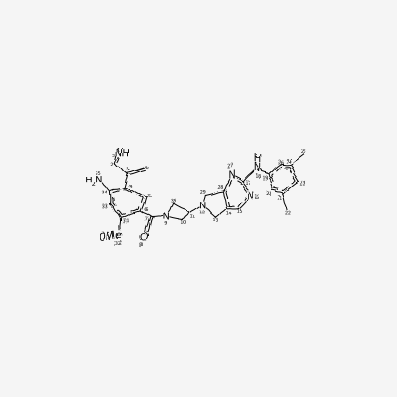 C=C(C=N)c1cc(C(=O)N2CC(N3Cc4cnc(Nc5cc(C)cc(C)c5)nc4C3)C2)c(OC)cc1N